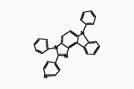 c1ccc(-n2c(-c3ccncc3)nc3c4c5ccccc5n(-c5ccccc5)c4ccc32)cc1